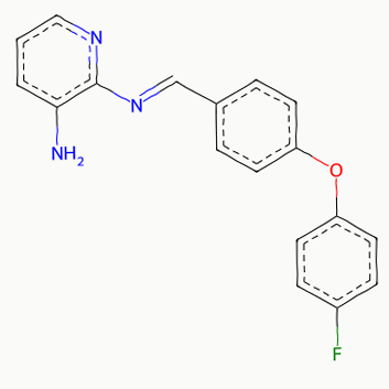 Nc1cccnc1N=Cc1ccc(Oc2ccc(F)cc2)cc1